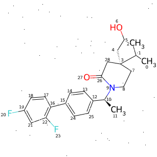 CC(C)[C@@]1(CCO)CCN([C@@H](C)c2ccc(-c3ccc(F)cc3F)cc2)C(=O)C1